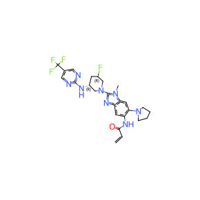 C=CC(=O)Nc1cc2nc(N3C[C@H](F)C[C@@H](Nc4ncc(C(F)(F)F)cn4)C3)n(C)c2cc1N1CCCC1